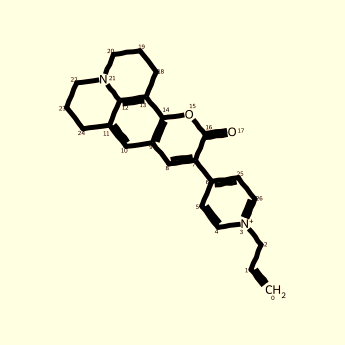 C=CC[n+]1ccc(-c2cc3cc4c5c(c3oc2=O)CCCN5CCC4)cc1